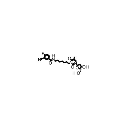 Cc1cn([C@H]2C[C@H](O)[C@@H](CO)O2)c(=O)n(CCCCCCCNC(=O)c2ccc(F)c(C#N)c2)c1=O